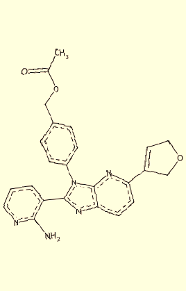 CC(=O)OCc1ccc(-n2c(-c3cccnc3N)nc3ccc(C4=CCOC4)nc32)cc1